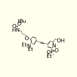 CCOP(C)(=O)c1cc(C#Cc2ccc(OCCCNC(=O)OC(C)(C)C)c(N(CC)CC)c2)cc(CO)n1